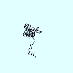 CC/C=C\C/C=C\C/C=C\C/C=C\C/C=C\CCCC(=O)Oc1c2n(cc(C(=O)NCc3ccc(F)cc3F)c1=O)[C@@H]1CN(C2=O)[C@@H](C)CC[C@]12CC(OC)=NO2